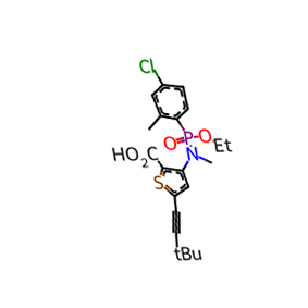 CCOP(=O)(c1ccc(Cl)cc1C)N(C)c1cc(C#CC(C)(C)C)sc1C(=O)O